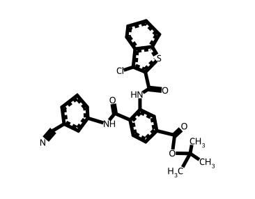 CC(C)(C)OC(=O)c1ccc(C(=O)Nc2cccc(C#N)c2)c(NC(=O)c2sc3ccccc3c2Cl)c1